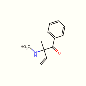 C=CC(C)(NC(=O)O)C(=O)c1ccccc1